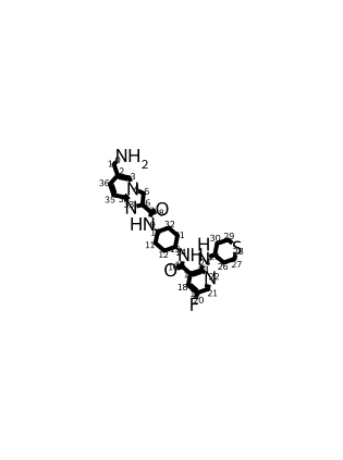 NCC1=CN2CC(C(=O)N[C@H]3CC[C@@H](NC(=O)c4cc(F)cnc4NC4CCSCC4)CC3)N=C2C=C1